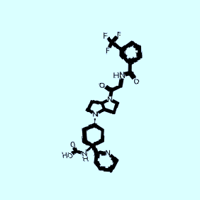 O=C(O)N[C@]1(c2ccccn2)CC[C@@H](N2CCC3C2CCN3C(=O)CNC(=O)c2cccc(C(F)(F)F)c2)CC1